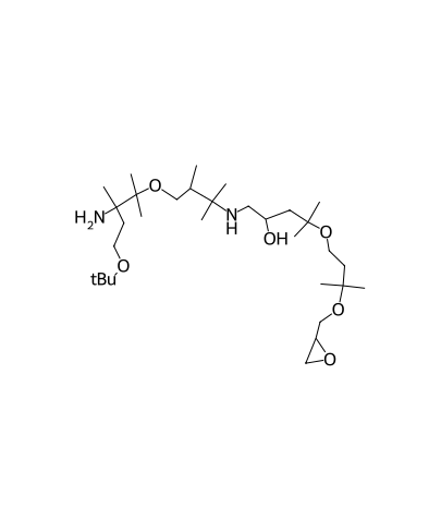 CC(COC(C)(C)C(C)(N)CCOC(C)(C)C)C(C)(C)NCC(O)CC(C)(C)OCCC(C)(C)OCC1CO1